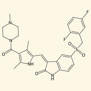 Cc1[nH]c(/C=C2\C(=O)Nc3ccc(S(=O)(=O)Cc4cc(F)ccc4F)cc32)c(C)c1C(=O)N1CCN(C)CC1